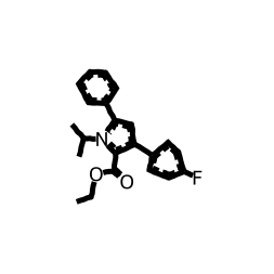 CCOC(=O)c1c(-c2ccc(F)cc2)cc(-c2ccccc2)n1C(C)C